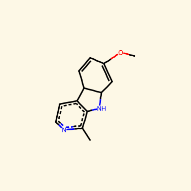 COC1=CC2Nc3c(ccnc3C)C2C=C1